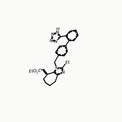 CCOC(=O)C=C1CCCCc2nc(CC)n(Cc3ccc(-c4ccccc4-c4nnn[nH]4)cc3)c21